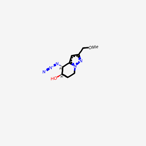 COCc1cc2n(n1)CC[C@@H](O)[C@@H]2N=[N+]=[N-]